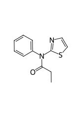 CCC(=O)N(c1ccccc1)c1nccs1